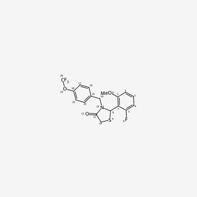 COc1cccc(F)c1C1SCC(=O)N1Cc1ccc(OC(F)(F)F)cc1